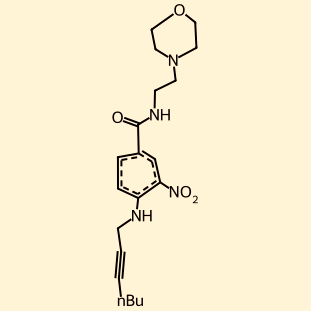 CCCCC#CCNc1ccc(C(=O)NCCN2CCOCC2)cc1[N+](=O)[O-]